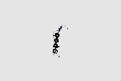 CC/C=C/COc1ccc(-c2ccc(-c3ccc(C4CCC(C)OC4)c(F)c3)cc2)c(F)c1F